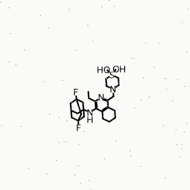 CCc1nc(CN2CCS(O)(O)CC2)c2c(c1NC13CC4CC(F)(CC(F)(C4)C1)C3)CCCC2